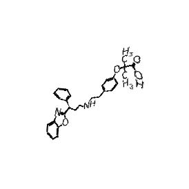 CC(C)(Oc1ccc(CCNCCC(c2ccccc2)c2nc3ccccc3o2)cc1)C(=O)O